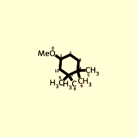 COC1CCC(C)(C)C(C)(C)C1